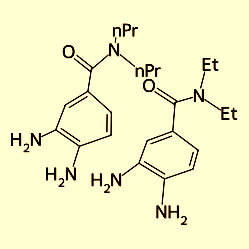 CCCN(CCC)C(=O)c1ccc(N)c(N)c1.CCN(CC)C(=O)c1ccc(N)c(N)c1